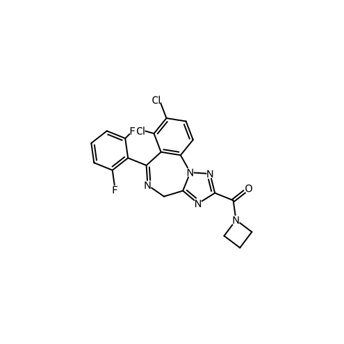 O=C(c1nc2n(n1)-c1ccc(Cl)c(Cl)c1C(c1c(F)cccc1F)=NC2)N1CCC1